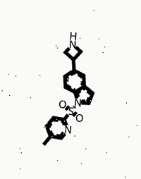 Cc1ccc(S(=O)(=O)n2ccc3cc(C4CNC4)ccc32)nc1